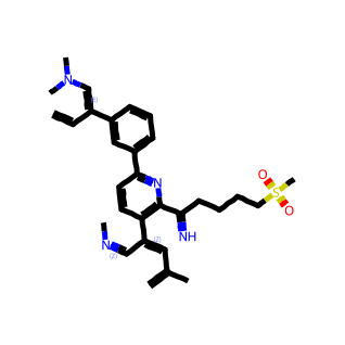 C=C/C(=C\N(C)C)c1cccc(-c2ccc(C(/C=N\C)=C/C(=C)C)c(C(=N)CCCCS(C)(=O)=O)n2)c1